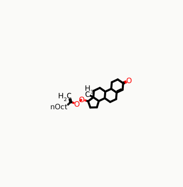 C=C(CCCCCCCC)OOC1CCC2C3CCC4=CC(=O)CCC4C3CCC12C